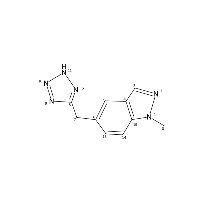 Cn1ncc2cc(Cc3nn[nH]n3)ccc21